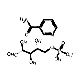 NC(=O)c1cccnc1.O=C[C@H](O)[C@H](O)[C@H](O)COP(=O)(O)O